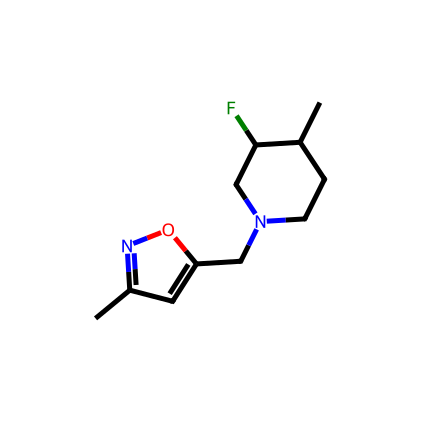 Cc1cc(CN2CCC(C)C(F)C2)on1